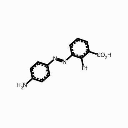 CCc1c(N=Nc2ccc(N)cc2)cccc1C(=O)O